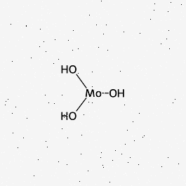 [OH][Mo]([OH])[OH]